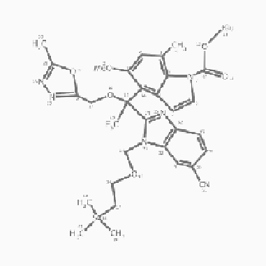 COc1cc(C)c2c(ccn2C(=O)OC(C)(C)C)c1C(OCc1nnc(C)o1)(c1nc2ccc(C#N)cc2n1COCC[Si](C)(C)C)C(F)(F)F